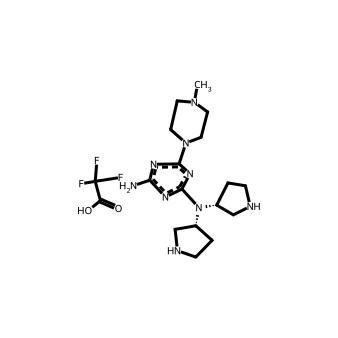 CN1CCN(c2nc(N)nc(N([C@@H]3CCNC3)[C@@H]3CCNC3)n2)CC1.O=C(O)C(F)(F)F